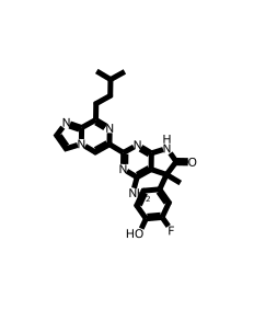 CC(C)CCc1nc(-c2nc(N)c3c(n2)NC(=O)C3(C)c2ccc(O)c(F)c2)cn2ccnc12